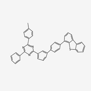 Cc1ccc(-c2nc(-c3ccccc3)nc(-c3cccc(-c4ccc(-c5cccc6c5sc5ccccc56)cc4)c3)n2)cc1